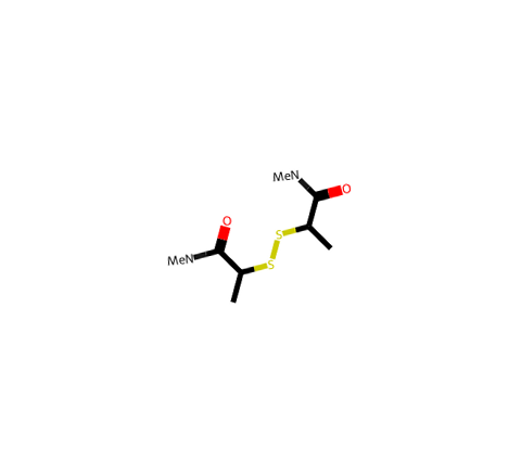 CNC(=O)C(C)SSC(C)C(=O)NC